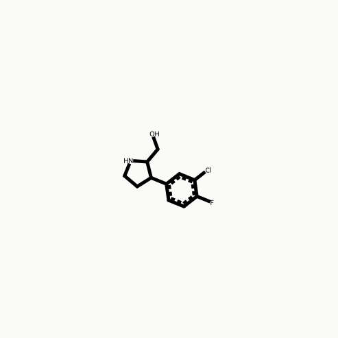 OCC1NCCC1c1ccc(F)c(Cl)c1